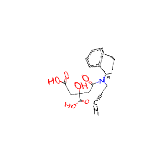 C#CCN(C(=O)CC(O)(CC(=O)O)C(=O)O)[C@@H]1CCc2ccccc21